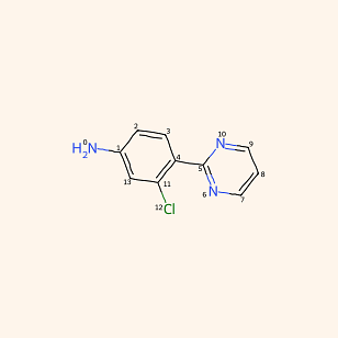 Nc1ccc(-c2ncccn2)c(Cl)c1